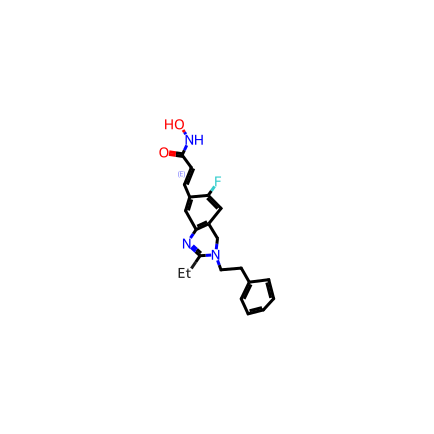 CCC1=Nc2cc(/C=C/C(=O)NO)c(F)cc2CN1CCc1ccccc1